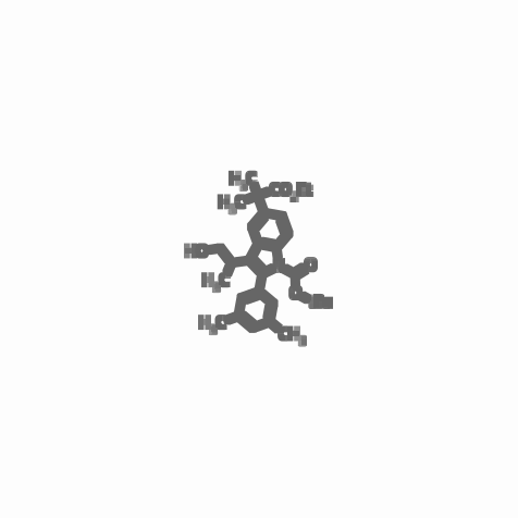 CCOC(=O)C(C)(C)c1ccc2c(c1)c(C(C)CO)c(-c1cc(C)cc(C)c1)n2C(=O)OC(C)(C)C